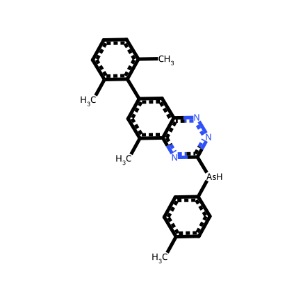 Cc1ccc([AsH]c2nnc3cc(-c4c(C)cccc4C)cc(C)c3n2)cc1